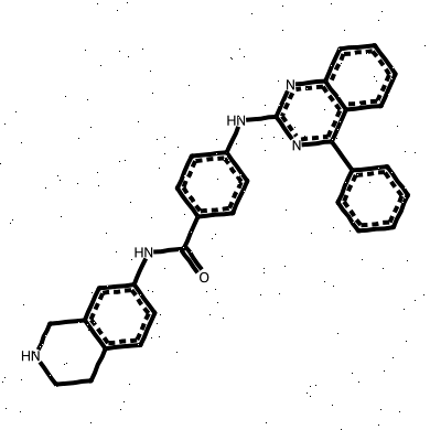 O=C(Nc1ccc2c(c1)CNCC2)c1ccc(Nc2nc(-c3ccccc3)c3ccccc3n2)cc1